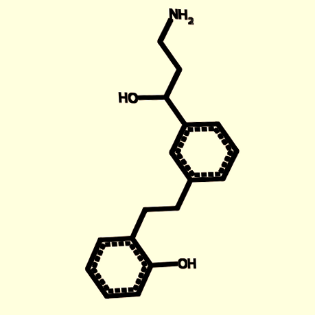 NCCC(O)c1cccc(CCc2ccccc2O)c1